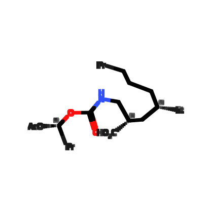 CC[C@@H](CCCC(C)C)C[C@@H](CNC(=O)O[C@@H](OC(C)=O)C(C)C)C(=O)O